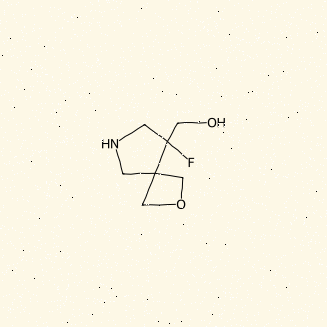 OCC1(F)CNCC12COC2